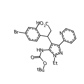 CCn1nc(-c2ccccn2)c(C(CC(=O)O)c2ccc(Br)cc2C)c1NC(=O)OC(C)(C)C